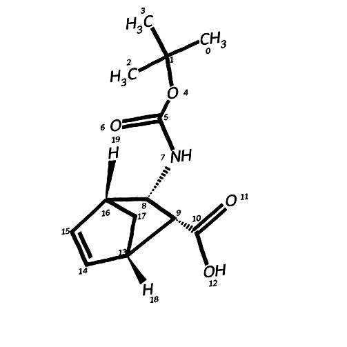 CC(C)(C)OC(=O)N[C@@H]1[C@H](C(=O)O)[C@@H]2C=C[C@H]1C2